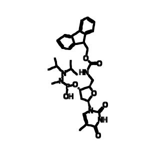 Cc1cn([C@H]2C[C@H](OP(O)N(C)N(C(C)C)C(C)C)[C@@H](CNC(=O)OCC3c4ccccc4-c4ccccc43)O2)c(=O)[nH]c1=O